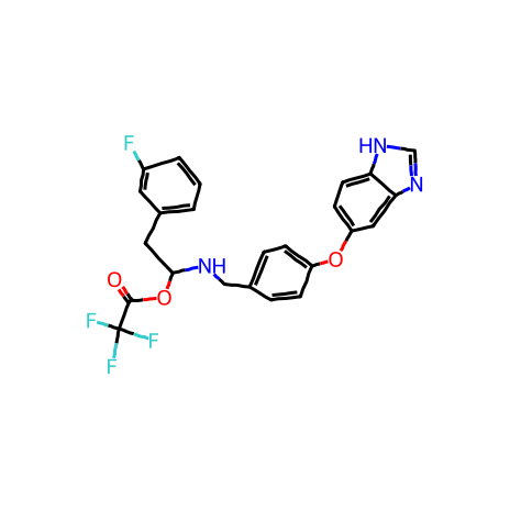 O=C(OC(Cc1cccc(F)c1)NCc1ccc(Oc2ccc3[nH]cnc3c2)cc1)C(F)(F)F